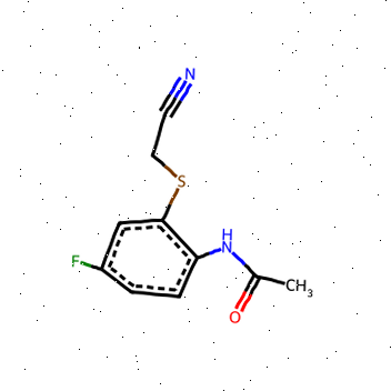 CC(=O)Nc1ccc(F)cc1SCC#N